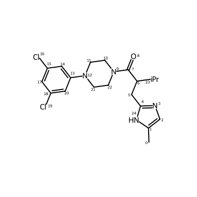 Cc1cnc(CC(C(=O)N2CCN(c3cc(Cl)cc(Cl)c3)CC2)C(C)C)[nH]1